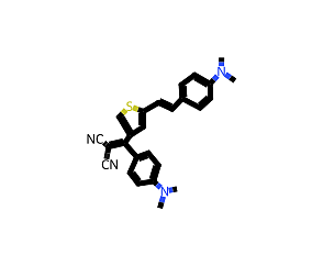 CN(C)c1ccc(C=Cc2cc(C(=C(C#N)C#N)c3ccc(N(C)C)cc3)cs2)cc1